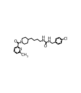 Cc1cccc(C(=O)N2CCC(CCCCNC(=O)NCc3ccc(Cl)cc3)CC2)n1